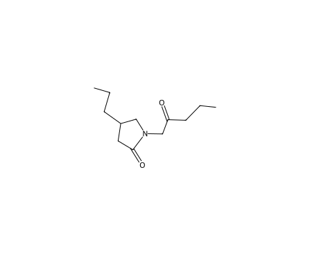 CCCC(=O)CN1CC(CCC)CC1=O